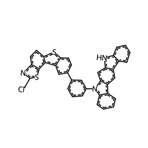 Clc1nc2ccc3sc4ccc(-c5cccc(-n6c7ccccc7c7cc8c(cc76)[nH]c6ccccc68)c5)cc4c3c2s1